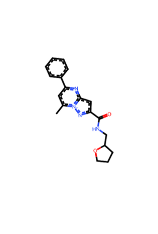 Cc1cc(-c2ccccc2)nc2cc(C(=O)NCC3CCCO3)nn12